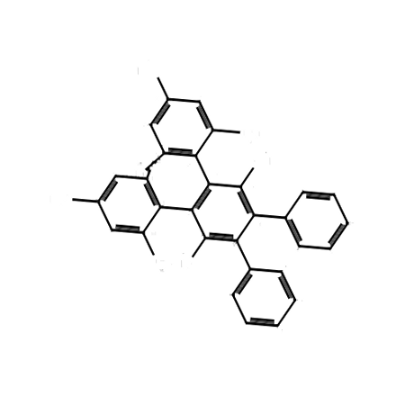 Cc1cc(C(C)(C)C)c(-c2c(O)c(-c3ccccc3)c(-c3ccccc3)c(O)c2-c2c(C(C)(C)C)cc(C)cc2C(C)(C)C)c(C(C)(C)C)c1